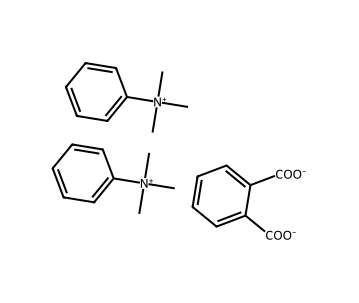 C[N+](C)(C)c1ccccc1.C[N+](C)(C)c1ccccc1.O=C([O-])c1ccccc1C(=O)[O-]